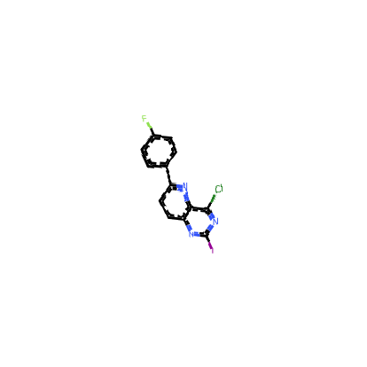 Fc1ccc(-c2ccc3nc(I)nc(Cl)c3n2)cc1